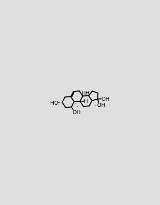 C[C@]12C(=CC[C@@H]3[C@@H]1CC[C@@]1(C)[C@H]3CCC1(O)O)C[C@@H](O)C[C@@H]2O